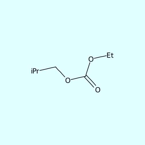 [CH2]C(C)COC(=O)OCC